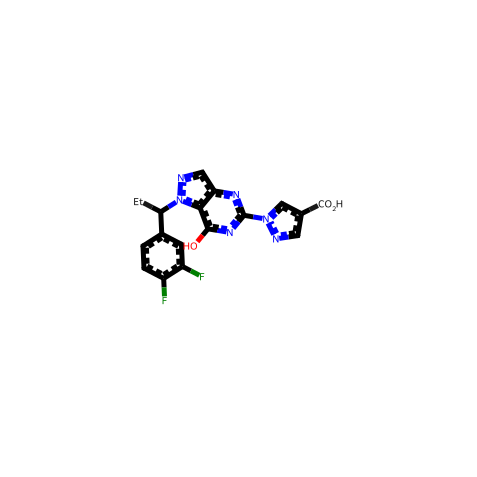 CCC(c1ccc(F)c(F)c1)n1ncc2nc(-n3cc(C(=O)O)cn3)nc(O)c21